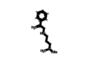 C=C(CNCCCN(C)CCCC)c1ccccc1